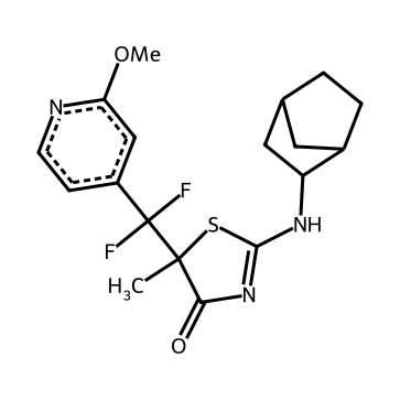 COc1cc(C(F)(F)C2(C)SC(NC3CC4CCC3C4)=NC2=O)ccn1